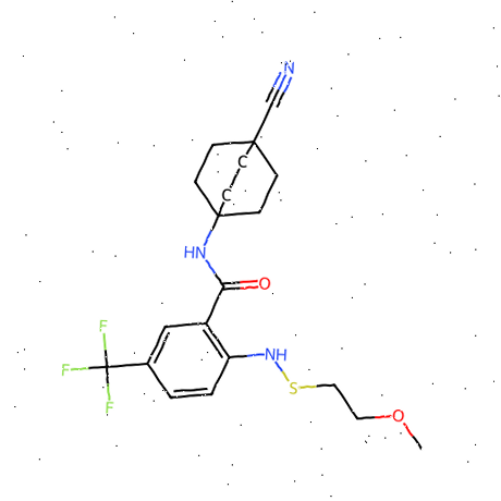 COCCSNc1ccc(C(F)(F)F)cc1C(=O)NC12CCC(C#N)(CC1)CC2